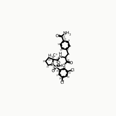 C[C@@]1(C(=O)NC(Cc2ccc(C(N)=O)cc2)C(=O)O)CCCN1S(=O)(=O)c1cc(Cl)cc(Cl)c1